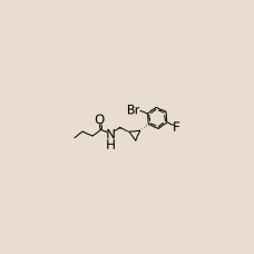 CCCC(=O)NC[C@@H]1C[C@H]1c1cc(F)ccc1Br